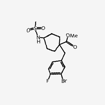 COC(=O)C1(Cc2ccc(F)c(Br)c2)CCC(NS(C)(=O)=O)CC1